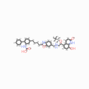 CC(C)(C)[Si](C)(C)OC(CNCc1ccc2nc(CCCCc3ccc(-c4ccccc4)c(NC(=O)O)c3)oc2c1)c1ccc(O)c2[nH]c(=O)ccc12